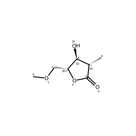 COC[C@H]1OC(=O)[C@@H](C)[C@@H]1O